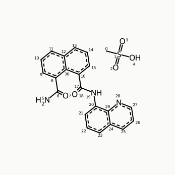 CS(=O)(=O)O.NC(=O)c1cccc2cccc(C(=O)Nc3cccc4cccnc34)c12